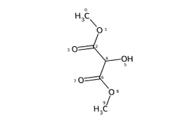 COC(=O)C(O)C(=O)OC